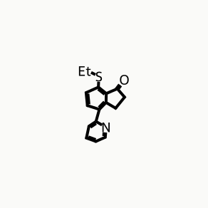 CCSc1ccc(-c2ccccn2)c2c1C(=O)CC2